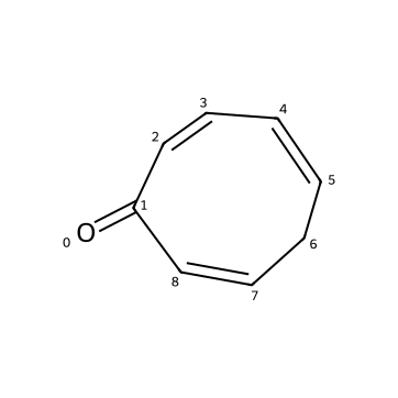 O=C1/C=C\C=C/C/C=C\1